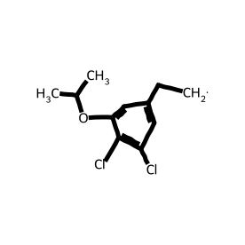 [CH2]Cc1cc(Cl)c(Cl)c(OC(C)C)c1